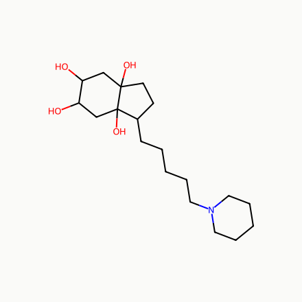 OC1CC2(O)CCC(CCCCCN3CCCCC3)C2(O)CC1O